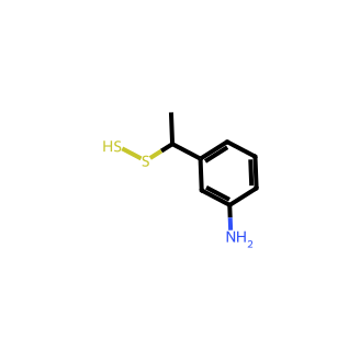 CC(SS)c1cccc(N)c1